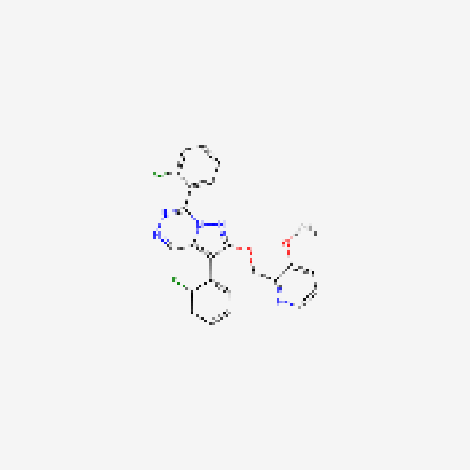 COc1cccnc1COc1nn2c(-c3ccccc3F)nncc2c1-c1ccccc1F